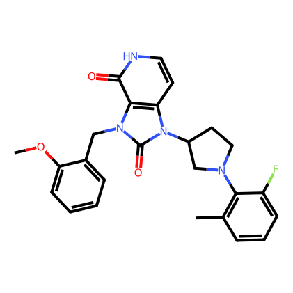 COc1ccccc1Cn1c(=O)n(C2CCN(c3c(C)cccc3F)C2)c2cc[nH]c(=O)c21